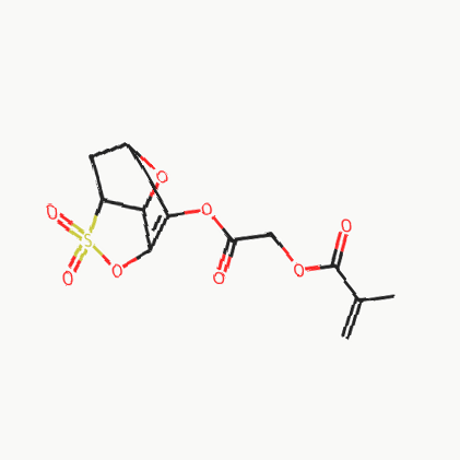 C=C(C)C(=O)OCC(=O)OC1=C2OS(=O)(=O)C3CC1OC23